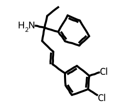 CCC(N)(CC=Cc1ccc(Cl)c(Cl)c1)c1ccccc1